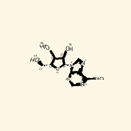 O=Nc1ncnc2c1ncn2[C@@H]1O[C@H](CO)C(O)C1O